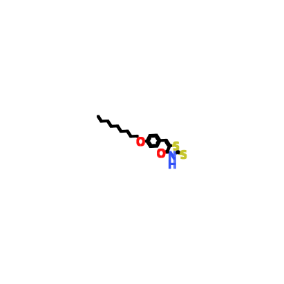 CCCCCCCCCOc1ccc(/C=C2/SC(=S)NC2=O)cc1